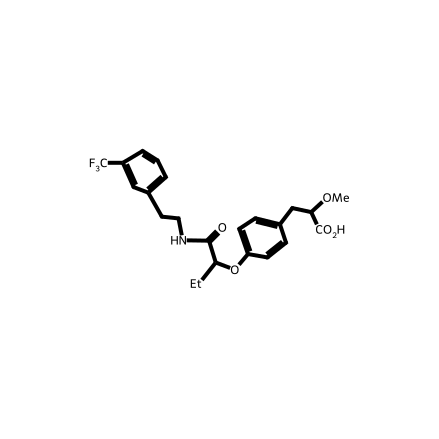 CCC(Oc1ccc(CC(OC)C(=O)O)cc1)C(=O)NCCc1cccc(C(F)(F)F)c1